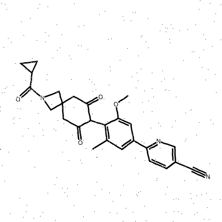 COc1cc(-c2ccc(C#N)cn2)cc(C)c1C1C(=O)CC2(CC1=O)CN(C(=O)C1CC1)C2